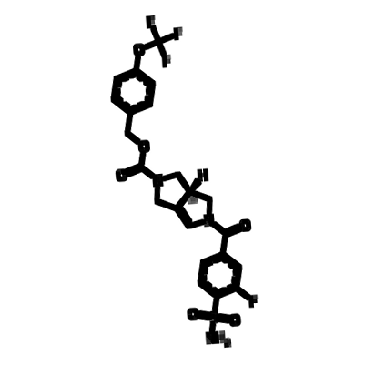 NS(=O)(=O)c1ccc(C(=O)N2C=C3CN(C(=O)OCc4ccc(OC(F)(F)F)cc4)C[C@@H]3C2)cc1F